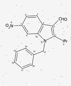 CC(C)c1c(C=O)c2ccc([N+](=O)[O-])cc2n1Cc1ccccc1